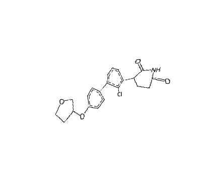 O=C1CCC(c2cccc(-c3ccc(OC4CCOC4)cc3)c2Cl)C(=O)N1